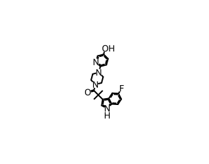 CC(C)(C(=O)N1CCN(c2ccc(O)cn2)CC1)c1c[nH]c2ccc(F)cc12